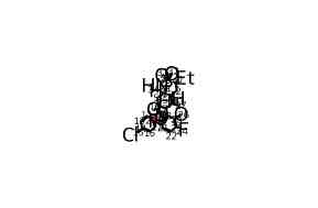 CC[C@@H]1C[C@@H]2[C@@H](CC[C@@]3(S(=O)(=O)c4ccc(Cl)cc4)c4c(F)ccc(F)c4OC[C@@H]23)NS1(=O)=O